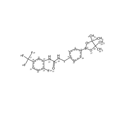 CC1(C)OB(c2ccc(CNC(=O)Nc3cc(C(F)(F)F)ccc3F)cc2)OC1(C)C